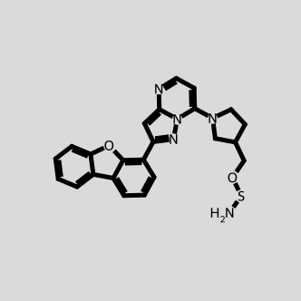 NSOCC1CCN(c2ccnc3cc(-c4cccc5c4oc4ccccc45)nn23)C1